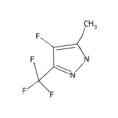 CC1=C(F)C(C(F)(F)F)=N[N]1